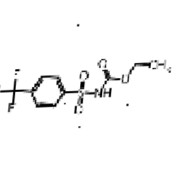 CCOC(=O)NS(=O)(=O)c1ccc(C(F)(F)F)cc1